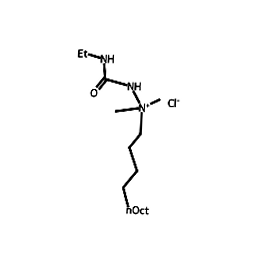 CCCCCCCCCCCC[N+](C)(C)NC(=O)NCC.[Cl-]